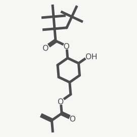 C=C(C)C(=O)OCC1CCC(OC(=O)C(C)(CC(C)(C)C)C(C)(C)C)C(O)C1